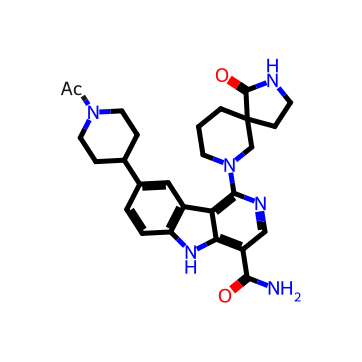 CC(=O)N1CCC(c2ccc3[nH]c4c(C(N)=O)cnc(N5CCCC6(CCNC6=O)C5)c4c3c2)CC1